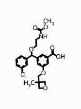 COC(=O)NCCOC(c1cccc(Cl)c1)c1cc(OCC2(C)COC2)cc(C(=O)O)c1